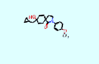 O=C1N(c2ccc(OC(F)(F)F)cc2)CCC12CCC(O)(CC1CC1)CC2